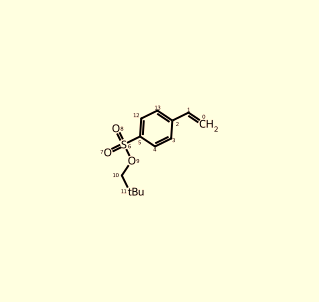 C=Cc1ccc(S(=O)(=O)OCC(C)(C)C)cc1